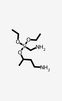 CCO[Si](CN)(OCC)OC(C)CCN